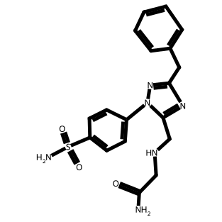 NC(=O)CNCc1nc(Cc2ccccc2)nn1-c1ccc(S(N)(=O)=O)cc1